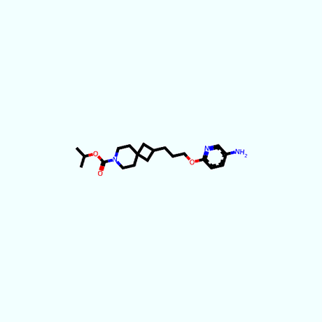 CC(C)OC(=O)N1CCC2(CC1)CC(CCCOc1ccc(N)cn1)C2